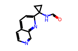 O=CNC1(c2ccc3ccncc3n2)CC1